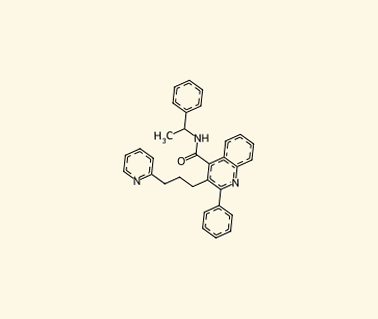 CC(NC(=O)c1c(CCCc2ccccn2)c(-c2ccccc2)nc2ccccc12)c1ccccc1